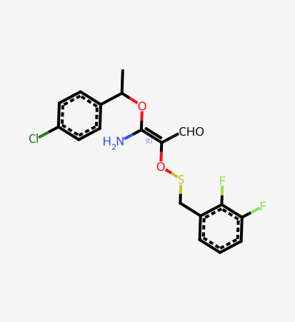 CC(O/C(N)=C(\C=O)OSCc1cccc(F)c1F)c1ccc(Cl)cc1